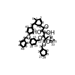 Cc1ccc(C(=O)[C@H](O)[C@@H](O)[C@H](OCc2ccccc2)C(C)(COCc2ccccc2)O[Si](C)(C)C)cc1Cc1ccc(OCc2ccccc2)cc1